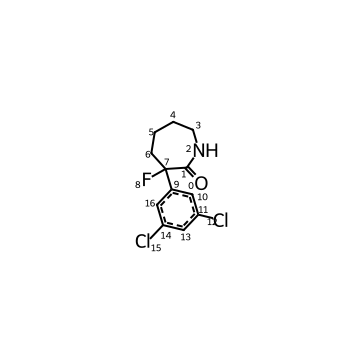 O=C1NCCCCC1(F)c1cc(Cl)cc(Cl)c1